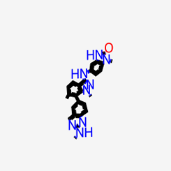 CNc1ncc2cc(-c3c(C)ccc4c(Nc5ccc6c(c5)[nH]c(=O)n6C)nn(C)c34)ccc2n1